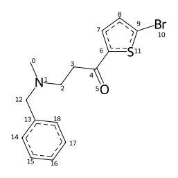 CN(CCC(=O)c1ccc(Br)s1)Cc1ccccc1